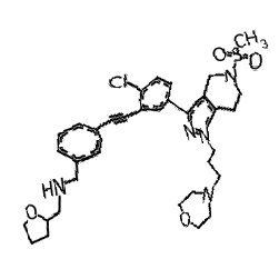 CS(=O)(=O)N1CCc2c(c(-c3ccc(Cl)c(C#Cc4cccc(CNCC5CCCO5)c4)c3)nn2CCCN2CCOCC2)C1